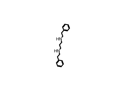 c1ccc(CCNCCCNCCc2ccccc2)cc1